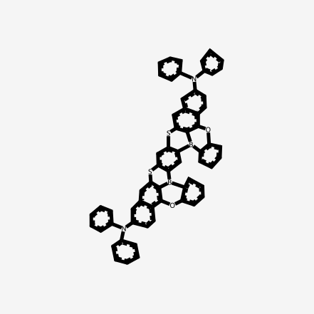 c1ccc(N(c2ccccc2)c2ccc3c4c5c(cc3c2)Sc2cc3c(cc2B5c2ccccc2O4)B2c4ccccc4Oc4c2c(cc2cc(N(c5ccccc5)c5ccccc5)ccc42)S3)cc1